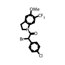 COc1cc2c(cc1C(F)(F)F)N(C(=O)C(Br)c1ccc(Cl)cc1)CC2